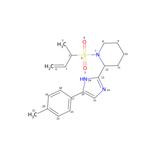 C=CC(C)S(=O)(=O)N1CCCCC1c1ncc(-c2ccc(C)cc2)[nH]1